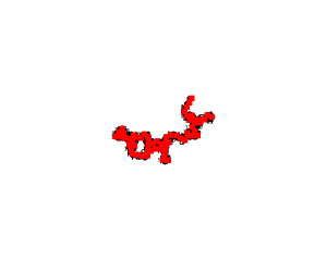 CSCCCN=C=NC1CCN(c2nc(OC[C@@H]3CCCN3C)nc3c2CCN(c2cccc4cc(-c5csc(CN=C=NC6CCN(c7nc(OC[C@@H]8CCCN8C)nc8c7CCN(c7cccc9cc(-c%10ccc(CCN=C=NC%11CCN(c%12nc(OC[C@@H]%13CCCN%13C)nc%13c%12CCN(c%12cccc%14cccc(C)c%12%14)C%13)CC%11)s%10)cc(C)c79)C8)CC6)c5)cc(C)c24)C3)CC1